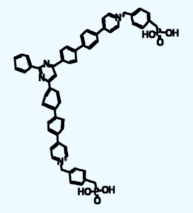 O=P(O)(O)Cc1ccc(C[n+]2ccc(-c3ccc(-c4ccc(-c5cc(-c6ccc(-c7ccc(-c8cc[n+](Cc9ccc(CP(=O)(O)O)cc9)cc8)cc7)cc6)nc(-c6ccccc6)n5)cc4)cc3)cc2)cc1